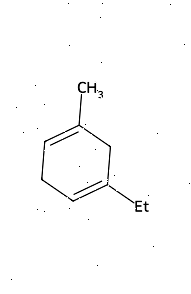 CCC1=CCC=C(C)C1